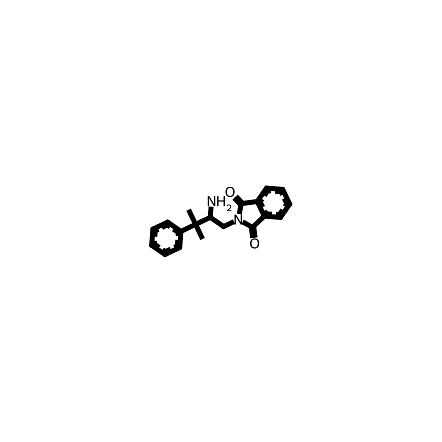 CC(C)(c1ccccc1)C(N)CN1C(=O)c2ccccc2C1=O